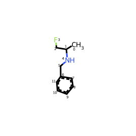 CC(CF)NCc1ccccc1